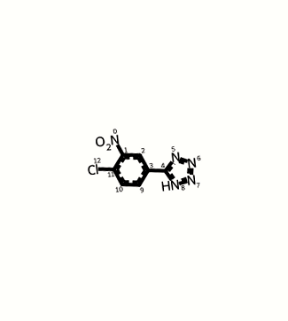 O=[N+]([O-])c1cc(-c2nnn[nH]2)ccc1Cl